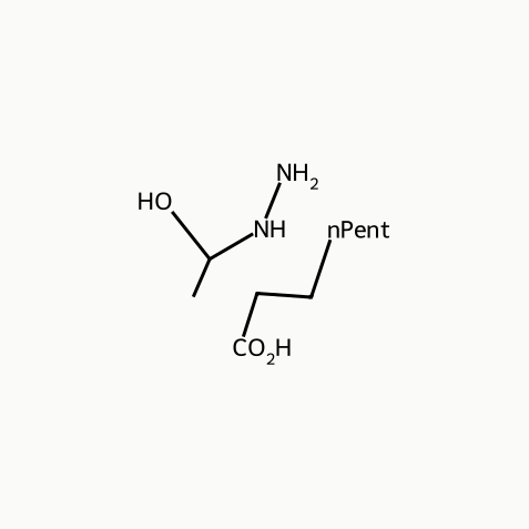 CC(O)NN.CCCCCCCC(=O)O